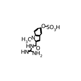 Cn1c(C(=O)NC(=N)N)cc2cc(OS(=O)(=O)O)ccc21